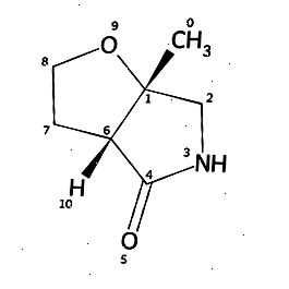 C[C@@]12CNC(=O)[C@@H]1CCO2